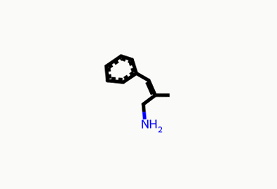 CC(=Cc1ccccc1)CN